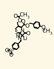 [Li][C@@]1(N=Cc2ccc([N+](=O)[O-])cc2)C(=O)N2C(C(=O)OCc3ccc(OC)cc3)=C(COC(C)=O)CS[C@@H]21